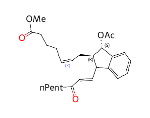 CCCCCC(=O)C=CC1c2ccccc2[C@@H](OC(C)=O)[C@@H]1C/C=C\CCCC(=O)OC